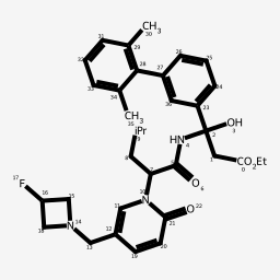 CCOC(=O)CC(O)(NC(=O)C(CC(C)C)n1cc(CN2CC(F)C2)ccc1=O)c1cccc(-c2c(C)cccc2C)c1